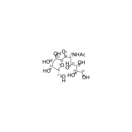 CC(=O)N[C@@H](C(=O)C1O[C@H](CO)[C@H](O)[C@H](O)[C@H]1O)[C@@H](O)[C@H](O)[C@H](O)CO